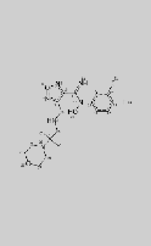 CC(C)(CNCc1nonc1C(=N)N(O)c1ccc(F)c(Cl)c1)N1CCOCC1